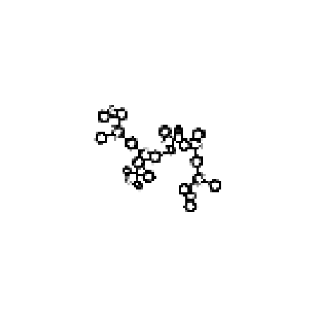 c1ccc(-c2nc(-c3ccc(-c4nc5ccccc5c5c6c(ccc45)C4(c5ccccc5Oc5c(-c7ccc8c(c7)nc(-c7ccc(-c9cc(-c%10cccc%11oc%12ccccc%12c%10%11)nc(-c%10ccccc%10)n9)cc7)c7ccc9c(c78)-c7ccccc7C97c8ccccc8Oc8ccccc87)cccc54)c4ccccc4-6)cc3)cc(-c3cccc4c3sc3ccccc34)n2)cc1